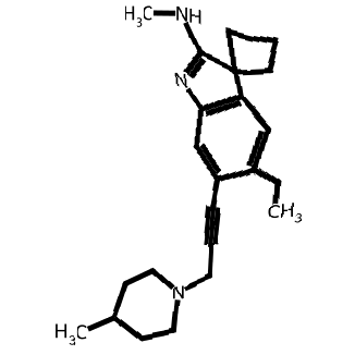 CCc1cc2c(cc1C#CCN1CCC(C)CC1)N=C(NC)C21CCC1